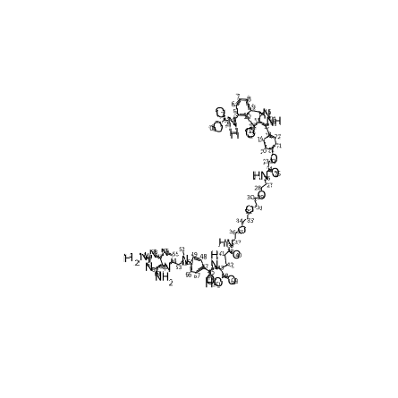 COC(=O)Nc1cccc2c1C(=O)c1c-2n[nH]c1-c1ccc(OCC(=O)NCCOCCOCCOCCNC(=O)CC[C@H](NC(=O)c2ccc(N(C)Cc3cnc4nc(N)nc(N)c4n3)cc2)C(=O)O)cc1